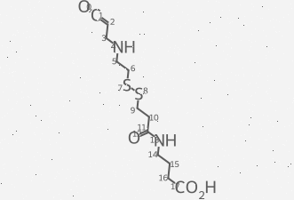 O=C=CCNCCSSCCC(=O)NCCCC(=O)O